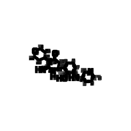 Cc1ccc(Nc2cccc([C@]3(C)CC(=O)N(C4CCOCC4)C(=N)N3)c2O)cn1